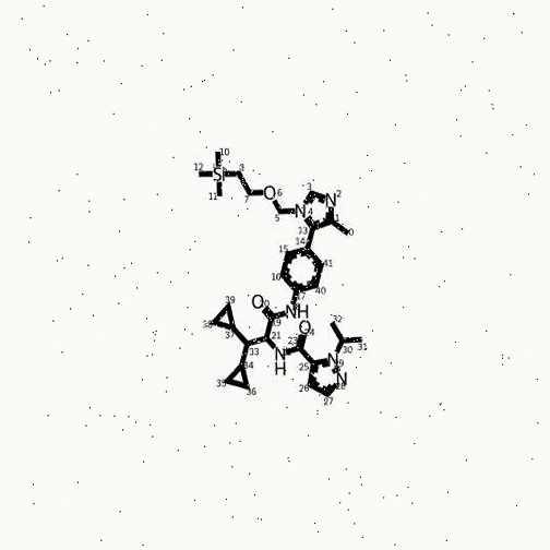 Cc1ncn(COCC[Si](C)(C)C)c1-c1ccc(NC(=O)C(NC(=O)c2ccnn2C(C)C)C(C2CC2)C2CC2)cc1